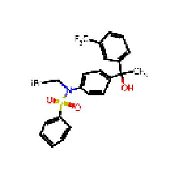 CC(C)CN(c1ccc(C(O)(c2cccc(C(F)(F)F)c2)C(F)(F)F)cc1)S(=O)(=O)c1ccccc1